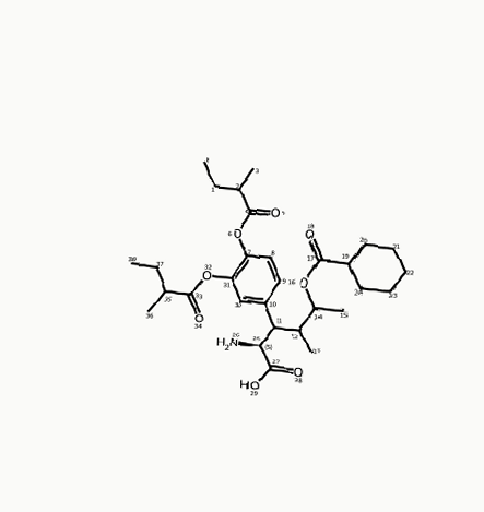 CCC(C)C(=O)Oc1ccc(C(C(C)C(C)OC(=O)C2CCCCC2)[C@H](N)C(=O)O)cc1OC(=O)C(C)CC